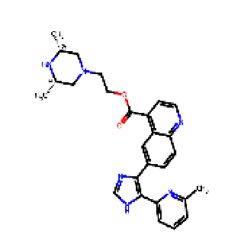 Cc1cccc(-c2[nH]cnc2-c2ccc3nccc(C(=O)OCCN4C[C@@H](C)N[C@@H](C)C4)c3c2)n1